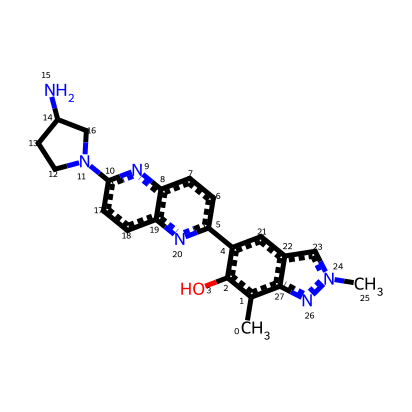 Cc1c(O)c(-c2ccc3nc(N4CCC(N)C4)ccc3n2)cc2cn(C)nc12